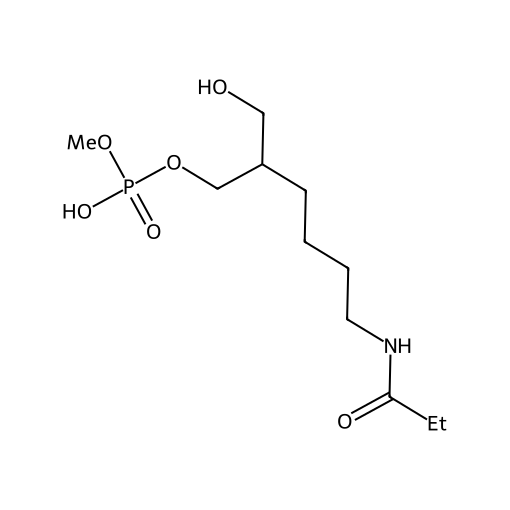 CCC(=O)NCCCCC(CO)COP(=O)(O)OC